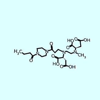 CCCC(=O)N1CCN(C(=O)CCN(CCN(C)[C@H](CC(=O)O)C(=O)O)[C@H](CC(=O)O)C(=O)O)CC1